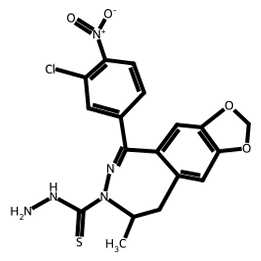 CC1Cc2cc3c(cc2C(c2ccc([N+](=O)[O-])c(Cl)c2)=NN1C(=S)NN)OCO3